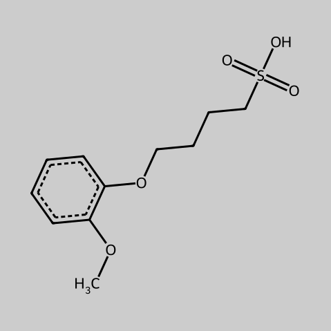 COc1ccccc1OCCCCS(=O)(=O)O